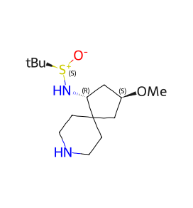 CO[C@@H]1C[C@@H](N[S@+]([O-])C(C)(C)C)C2(CCNCC2)C1